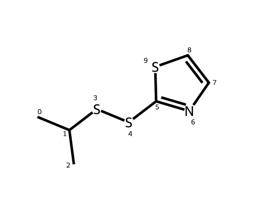 CC(C)SSc1nccs1